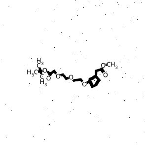 COC(=O)Cc1cccc(OCCOCCOCC(=O)OC(C)(C)C)c1